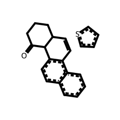 O=C1CCCC2C=Cc3c(ccc4ccccc34)C12.c1ccsc1